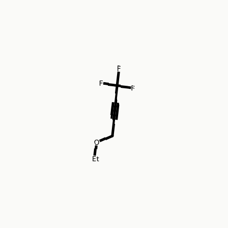 [CH2]COCC#CC(F)(F)F